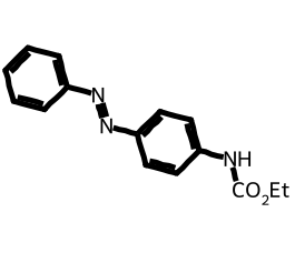 CCOC(=O)Nc1ccc(N=Nc2ccccc2)cc1